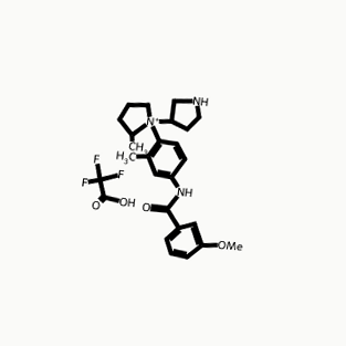 COc1cccc(C(=O)Nc2ccc([N+]3(C4CCNC4)CCCC3C)c(C)c2)c1.O=C(O)C(F)(F)F